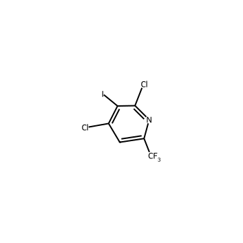 FC(F)(F)c1cc(Cl)c(I)c(Cl)n1